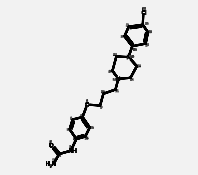 NC(=O)Nc1ccc(OCCCN2CCN(c3ccc(Cl)cc3)CC2)cc1